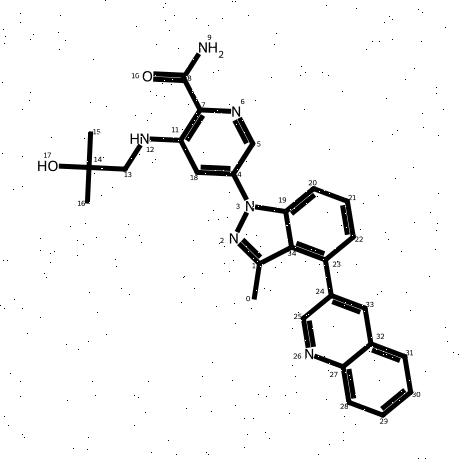 Cc1nn(-c2cnc(C(N)=O)c(NCC(C)(C)O)c2)c2cccc(-c3cnc4ccccc4c3)c12